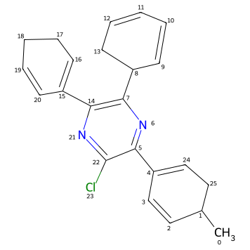 CC1C=CC(c2nc(C3C=CC=CC3)c(C3=CCCC=C3)nc2Cl)=CC1